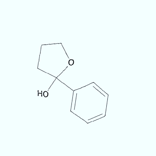 OC1(c2ccccc2)CCCO1